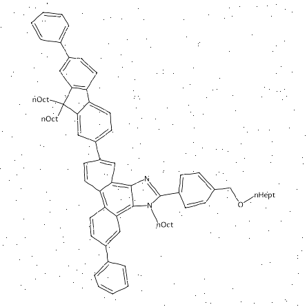 CCCCCCCCn1c(-c2ccc(COCCCCCCC)cc2)nc2c3cc(-c4ccc5c(c4)C(CCCCCCCC)(CCCCCCCC)c4cc(-c6ccccc6)ccc4-5)ccc3c3ccc(-c4ccccc4)cc3c21